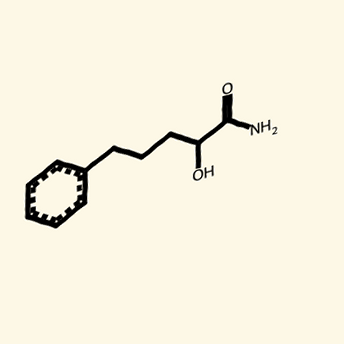 NC(=O)C(O)CCCc1ccccc1